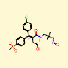 CC(C)(CNC(=O)/C(CCO)=C(\c1ccc(Cl)cc1)c1ccc(S(C)(=O)=O)cc1)SN=O